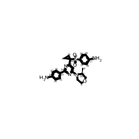 C[C@H]1COCCN1c1cc(C2(S(=O)(=O)c3ccc(N)cc3)CC2)nc(-c2ccc(N)cc2)n1